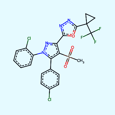 CS(=O)(=O)c1c(-c2nnc(C3(C(F)(F)F)CC3)o2)nn(-c2ccccc2Cl)c1-c1ccc(Cl)cc1